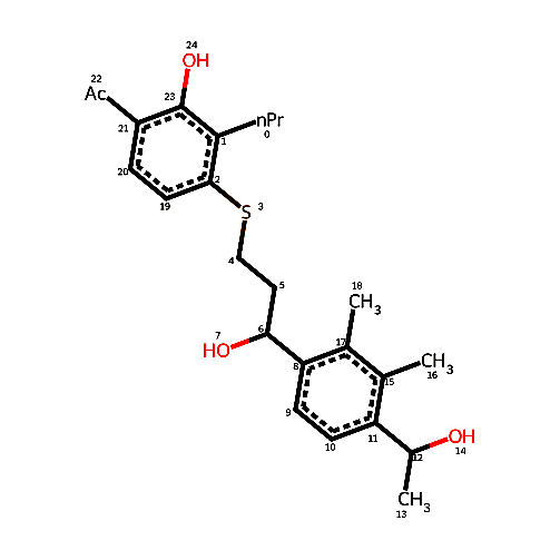 CCCc1c(SCCC(O)c2ccc(C(C)O)c(C)c2C)ccc(C(C)=O)c1O